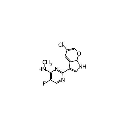 CNc1nc(C2=CNC3OC=C(Cl)C=C23)ncc1F